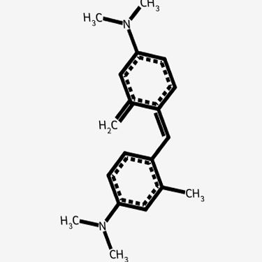 C=c1cc(N(C)C)cc/c1=C/c1ccc(N(C)C)cc1C